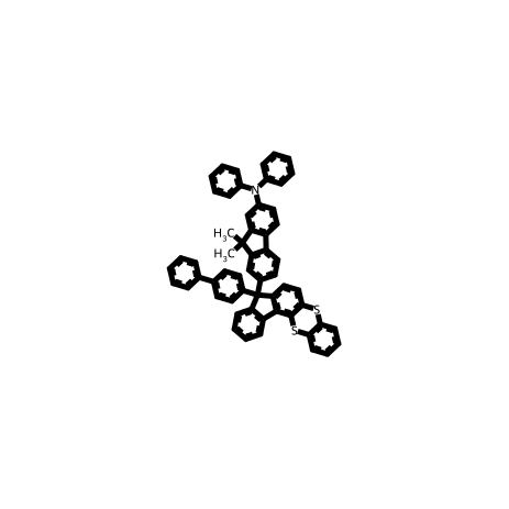 CC1(C)c2cc(N(c3ccccc3)c3ccccc3)ccc2-c2ccc(C3(c4ccc(-c5ccccc5)cc4)c4ccccc4-c4c3ccc3c4Sc4ccccc4S3)cc21